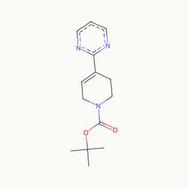 CC(C)(C)OC(=O)N1CC=C(c2ncccn2)CC1